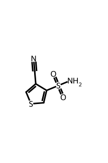 N#Cc1cscc1S(N)(=O)=O